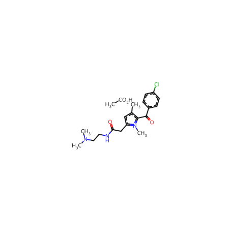 CC(=O)O.Cc1cc(CC(=O)NCCN(C)C)n(C)c1C(=O)c1ccc(Cl)cc1